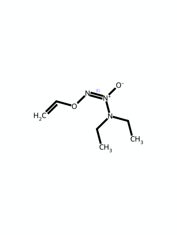 C=CO/N=[N+](/[O-])N(CC)CC